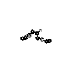 N#Cc1cc(-c2cccc(-c3ccc(-c4ccc5ccccc5c4)nn3)c2)cc(-c2cccc(-c3ccc(-c4ccc5ccccc5c4)nn3)c2)c1